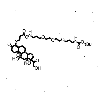 CC(C)(C)OC(=O)NCCCOCCOCCOCCCNOC(=O)CCSC1=C2CCC3C(C(O)CC4(C)C3CC[C@]4(O)C(=O)CO)C2(C)CCC1=O